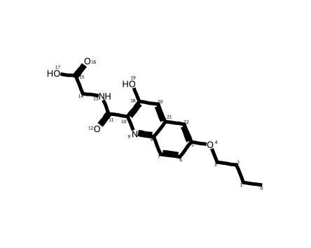 CCCCOc1ccc2nc(C(=O)NCC(=O)O)c(O)cc2c1